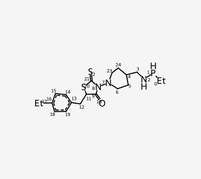 CCPNCC1CCN(N2C(=O)C(Cc3ccc(CC)cc3)SC2=S)CC1